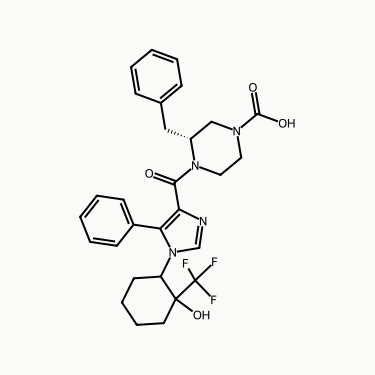 O=C(O)N1CCN(C(=O)c2ncn(C3CCCCC3(O)C(F)(F)F)c2-c2ccccc2)[C@H](Cc2ccccc2)C1